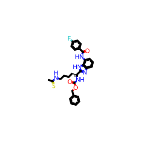 CC(=S)NCCCC[C@H](NC(=O)OCc1ccccc1)c1nc2cccc(NC(=O)c3ccc(F)cc3)c2[nH]1